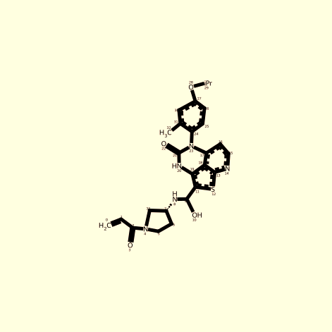 C=CC(=O)N1CC[C@@H](NC(O)c2sc3nccc4c3c2NC(=O)N4c2ccc(OC(C)C)cc2C)C1